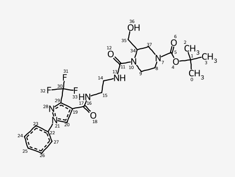 CC(C)(C)OC(=O)N1CCN(C(=O)NCCNC(=O)c2cn(-c3ccccc3)nc2C(F)(F)F)C(CO)C1